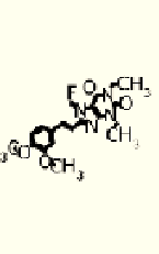 CCn1c(=O)c2c(nc(/C=C/c3ccc(OC)c(OC)c3)n2CF)n(CC)c1=O